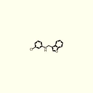 Clc1cccc(NCc2coc3ccccc23)c1